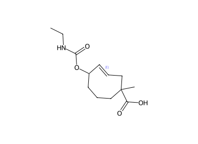 CCNC(=O)OC1/C=C/CC(C)(C(=O)O)CCC1